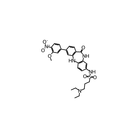 CCN(CC)CCCS(=O)(=O)Nc1ccc2c(c1)NC(=O)c1ccc(-c3ccc([N+](=O)[O-])c(OC)c3)cc1N2